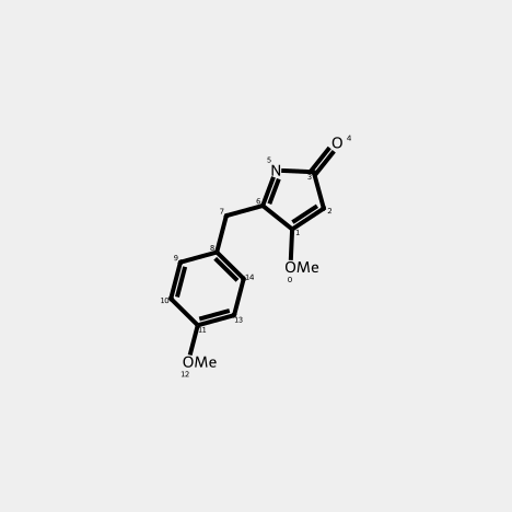 COC1=CC(=O)N=C1Cc1ccc(OC)cc1